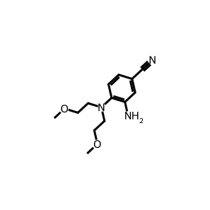 COCCN(CCOC)c1ccc(C#N)cc1N